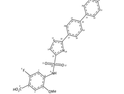 COc1cc(C(=O)O)c(F)cc1NS(=O)(=O)c1csc(-c2ccc(-c3cccnc3)cc2)n1